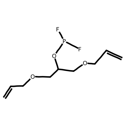 C=CCOCC(COCC=C)OP(F)F